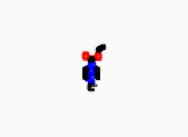 [CH2-][NH+]1CCN(C(=O)OCC)CC1